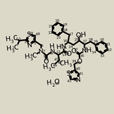 CC(C)c1nc(CN(C)C(=O)NC(C(=O)NC(Cc2ccccc2)CC(O)C(Cc2ccccc2)NC(=O)OCc2cncs2)C(C)C)cs1.O